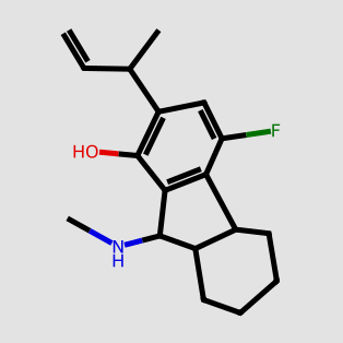 C=CC(C)c1cc(F)c2c(c1O)C(NC)C1CCCCC21